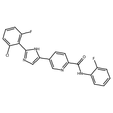 O=C(Nc1ccccc1F)c1ccc(-c2cnc(-c3c(F)cccc3Cl)[nH]2)cn1